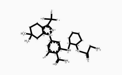 CC1(C)CCc2c(C(F)(F)F)nn(-c3cc(F)c(C(N)=O)c(NC4CCCCC4OC(=O)CN)c3)c2C1